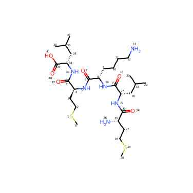 CSCC[C@H](NC(=O)[C@H](CCCCN)NC(=O)[C@H](CC(C)C)NC(=O)[C@@H](N)CCSC)C(=O)N[C@@H](CC(C)C)C(=O)O